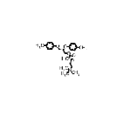 Cc1ccc(OC[C@H](COP(=O)(O)OCC[N+](C)(C)C)Oc2ccc(C)cc2)cc1